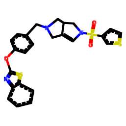 O=S(=O)(c1ccsc1)N1C=C2CN(Cc3ccc(Oc4nc5ccccc5s4)cc3)CC2C1